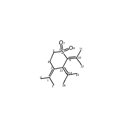 CC(C)=C1CCS(=O)(=O)C(=C(C)C)C1=C(C)C